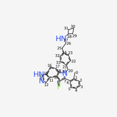 Cc1ccccc1-c1c(F)c2c3cn[nH]c3ccc2n1Cc1ccc(CCNC2CCC2)cc1